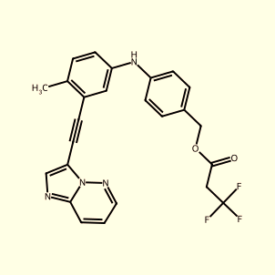 Cc1ccc(Nc2ccc(COC(=O)CC(F)(F)F)cc2)cc1C#Cc1cnc2cccnn12